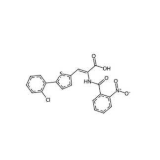 O=C(O)/C(=C/c1ccc(-c2ccccc2Cl)s1)NC(=O)c1ccccc1[N+](=O)[O-]